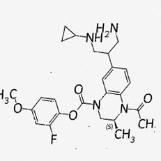 COc1ccc(OC(=O)N2C[C@H](C)N(C(C)=O)c3ccc(C(CN)CNC4CC4)cc32)c(F)c1